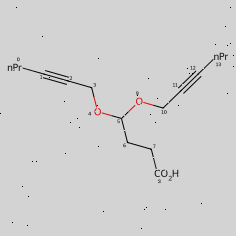 CCCC#CCOC(CCC(=O)O)OCC#CCCC